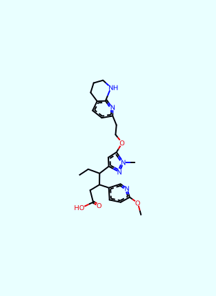 CCC(c1cc(OCCc2ccc3c(n2)NCCC3)n(C)n1)C(CC(=O)O)c1ccc(OC)nc1